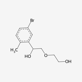 Cc1ccc(Br)cc1C(O)COCCO